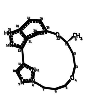 C[C@@H]1CCOCCCn2ncc(n2)-c2n[nH]c3ccc(cc23)O1